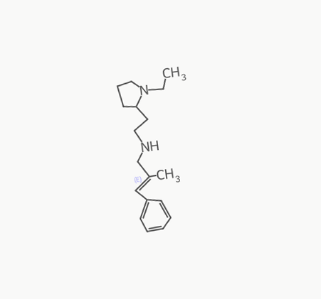 CCN1CCCC1CCNC/C(C)=C/c1ccccc1